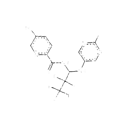 O=C(NC(Nc1cnc(Cl)nc1)C(F)(F)C(F)(F)F)c1ccc(Br)cn1